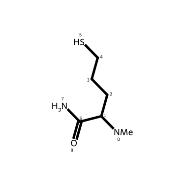 CNC(CCCS)C(N)=O